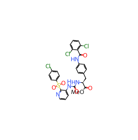 COC(=O)[C@H](Cc1ccc(NC(=O)c2c(Cl)cccc2Cl)cc1)NC(=O)Nc1cccnc1S(=O)(=O)c1ccc(Cl)cc1